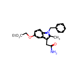 CCOC(=O)COc1ccc2c(c1)c(CC(N)=O)c(C)n2Cc1ccccc1